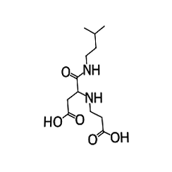 CC(C)CCNC(=O)C(CC(=O)O)NCCC(=O)O